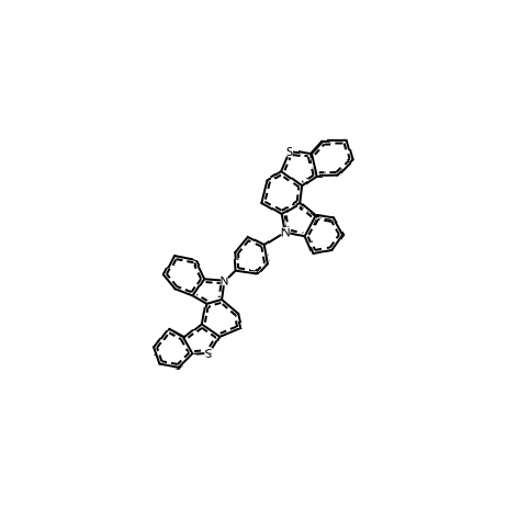 c1ccc2c(c1)sc1ccc3c(c4ccccc4n3-c3ccc(-n4c5ccccc5c5c6c(ccc54)sc4ccccc46)cc3)c12